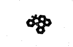 CC1(C)c2ccccc2B2c3ccccc3-c3cccc4ccc1c2c34